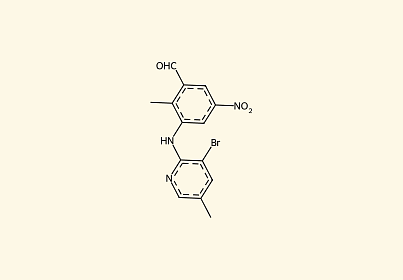 Cc1cnc(Nc2cc([N+](=O)[O-])cc(C=O)c2C)c(Br)c1